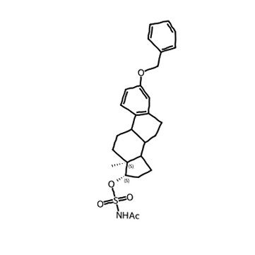 CC(=O)NS(=O)(=O)O[C@H]1CCC2C3CCc4cc(OCc5ccccc5)ccc4C3CC[C@@]21C